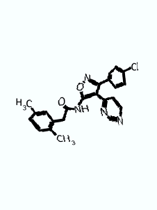 Cc1ccc(C)c(CC(=O)Nc2onc(-c3ccc(Cl)cc3)c2-c2ccncn2)c1